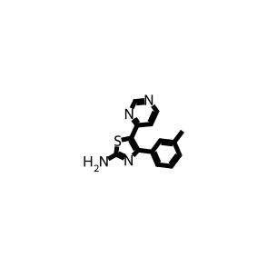 Cc1cccc(-c2nc(N)sc2-c2ccncn2)c1